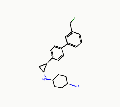 N[C@H]1CC[C@@H](N[C@@H]2C[C@H]2c2ccc(-c3cccc(CF)c3)cc2)CC1